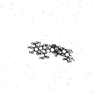 C[C@@H](O)C(O[C@@H]1OC(C(=O)O)[C@@H](O)C(O)C1O)[C@H](OC(O)C(=O)O)O[C@H]1CC[C@]2(C)[C@H]3C(=O)C=C4[C@@H]5C[C@@](C)(C(=O)O)CC[C@]5(C)CC[C@@]4(C)[C@]3(C)CC[C@H]2C1(C)C